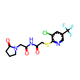 O=C(CSc1ncc(C(F)(F)F)cc1Cl)NC(=O)CN1CCCC1=O